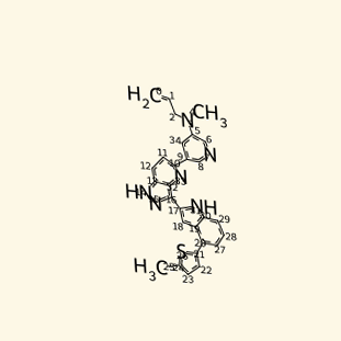 C=CCN(C)c1cncc(-c2ccc3[nH]nc(-c4cc5c(-c6ccc(C)s6)cccc5[nH]4)c3n2)c1